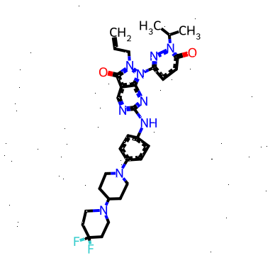 C=CCn1c(=O)c2cnc(Nc3ccc(N4CCC(N5CCC(F)(F)CC5)CC4)cc3)nc2n1-c1ccc(=O)n(C(C)C)n1